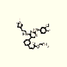 CCOC(=O)/C=C\c1cccc(-c2cnc(Nc3ccc(F)c(Cl)c3)nc2NCCc2cn[nH]c2)c1